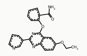 CCOc1ccc2nc(-c3cccnc3)nc(Oc3ccccc3C(N)=O)c2c1